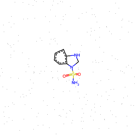 NS(=O)(=O)N1CNc2ccccc21